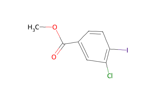 COC(=O)c1ccc(I)c(Cl)c1